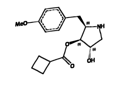 COc1ccc(C[C@H]2NC[C@H](O)[C@H]2OC(=O)C2CCC2)cc1